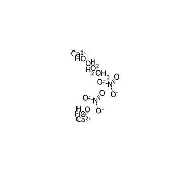 O.O.O.O.O=[N+]([O-])[O-].O=[N+]([O-])[O-].[Ca+2].[Ca+2].[OH-].[OH-]